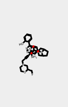 Nc1nnc(-c2ccccc2O)cc1N1CC2CCC(C1)N2c1ccnc(C#CCN2CCOC(CF)C2)c1